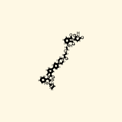 O=C1CCC(N2C(=O)c3cccc(NCCOCCC(=O)N4CCN(c5ccc(-c6ccc7c(c6)C(=O)N(C(C(=O)Nc6nccs6)c6ccccc6)C7)cc5)CC4)c3C2=O)C(=O)N1